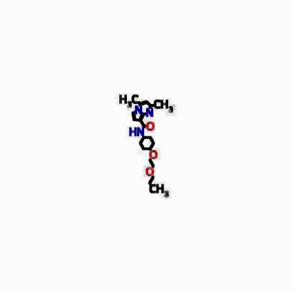 CCCOCCO[C@H]1CC[C@H](NC(=O)c2ccn3c(C)cc(C)nc23)CC1